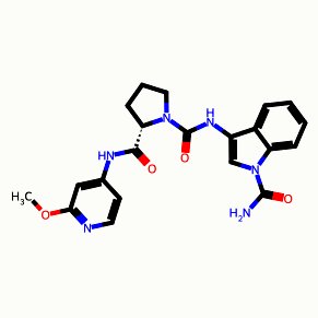 COc1cc(NC(=O)[C@@H]2CCCN2C(=O)Nc2cn(C(N)=O)c3ccccc23)ccn1